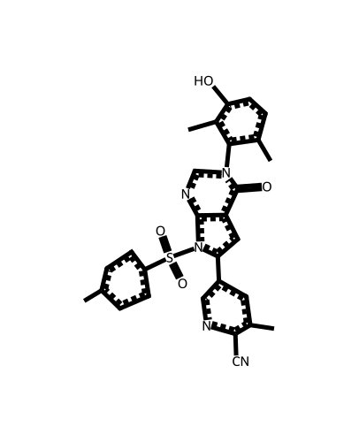 Cc1ccc(S(=O)(=O)n2c(-c3cnc(C#N)c(C)c3)cc3c(=O)n(-c4c(C)ccc(O)c4C)cnc32)cc1